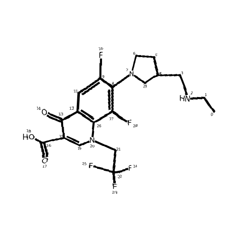 CCNCC1CCN(c2c(F)cc3c(=O)c(C(=O)O)cn(CC(F)(F)F)c3c2F)C1